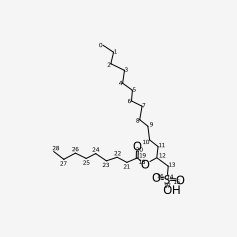 CCCCCCCCCCCCC(CS(=O)(=O)O)OC(=O)CCCCCCCC